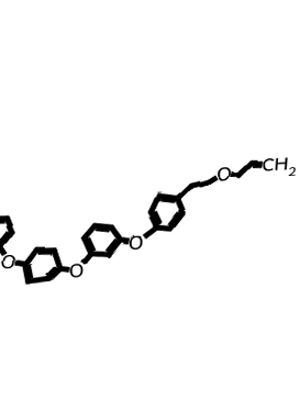 C=CCOCCc1ccc(Oc2cccc(Oc3ccc(Oc4ccccc4)cc3)c2)cc1